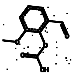 COc1cccc(C=O)c1OC(=O)O